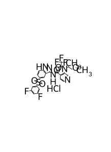 COCC(C)N(C(=O)C(F)(F)F)c1cnccc1C(=O)Nc1n[nH]c2ccc(S(=O)(=O)c3cc(F)cc(F)c3)cc12.Cl